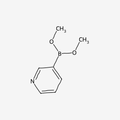 COB(OC)c1cccnc1